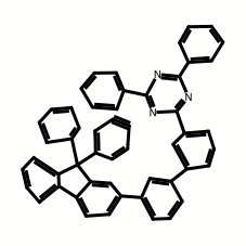 c1ccc(C2(c3ccccc3)c3ccccc3-c3ccc(-c4cccc(-c5cccc(-c6nc(-c7ccccc7)nc(-c7ccccc7)n6)c5)c4)cc32)cc#1